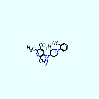 Cc1nc(C)c(C(=O)O)cc1NC1CCN(c2ccccc2C#N)CC1